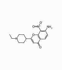 CCN1CCC(c2cc(=O)c3ccc(N)c([N+](=O)[O-])c3o2)CC1